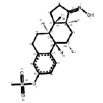 C[C@H]1C[C@]2(C)/C(=N\O)CC[C@H]2[C@@H]2CCc3cc(OS(C)(=O)=O)ccc3[C@H]21